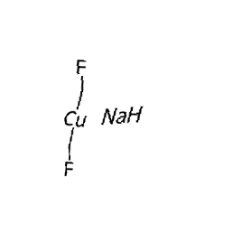 [F][Cu][F].[NaH]